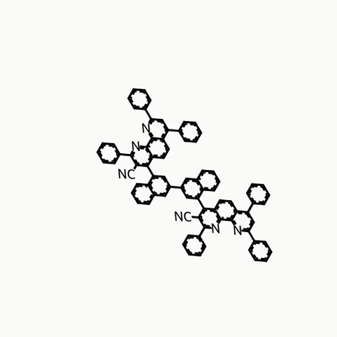 N#Cc1c(-c2ccccc2)nc2c(ccc3c(-c4ccccc4)cc(-c4ccccc4)nc32)c1-c1cc(-c2cc(-c3c(C#N)c(-c4ccccc4)nc4c3ccc3c(-c5ccccc5)cc(-c5ccccc5)nc34)c3ccccc3c2)cc2ccccc12